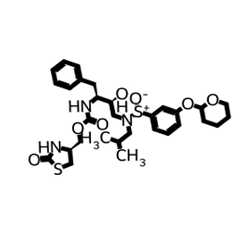 CC(C)CN(C[C@@H](O)[C@H](Cc1ccccc1)NC(=O)OC[C@H]1CSC(=O)N1)[S+]([O-])c1cccc(OC2CCCCO2)c1